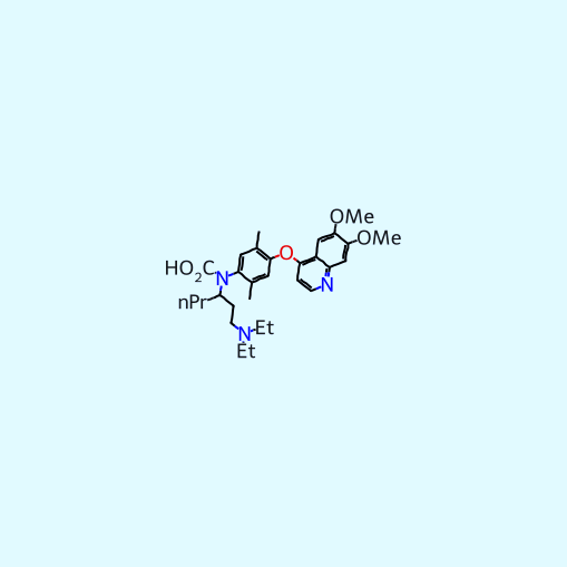 CCCC(CCN(CC)CC)N(C(=O)O)c1cc(C)c(Oc2ccnc3cc(OC)c(OC)cc23)cc1C